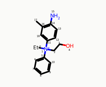 CC[N+](CCO)(c1ccccc1)c1ccc(N)c(C)c1